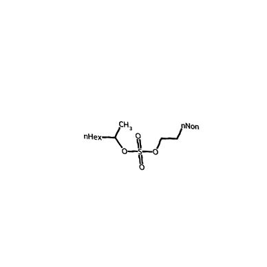 CCCCCCCCCCCOS(=O)(=O)OC(C)CCCCCC